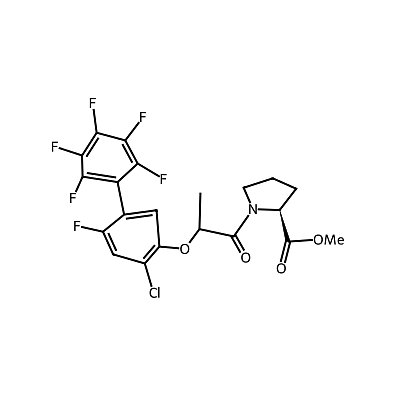 COC(=O)[C@@H]1CCCN1C(=O)C(C)Oc1cc(-c2c(F)c(F)c(F)c(F)c2F)c(F)cc1Cl